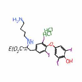 CCOC(=O)[C@H](Cc1cc(I)c(Oc2cc(I)c(O)c(I)c2)c(I)c1)NCCCCN.Cl.Cl